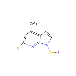 COc1cc(F)nc2c1ccn2SI